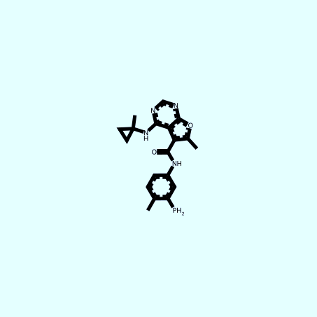 Cc1ccc(NC(=O)c2c(C)oc3ncnc(NC4(C)CC4)c23)cc1P